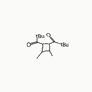 CC1C(C)C(C(=O)C(C)(C)C)C1C(=O)C(C)(C)C